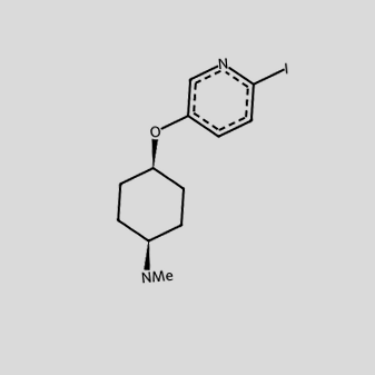 CN[C@H]1CC[C@@H](Oc2ccc(I)nc2)CC1